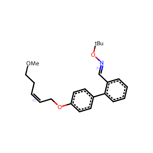 COCC/C=C\COc1ccc(-c2ccccc2/C=N/OC(C)(C)C)cc1